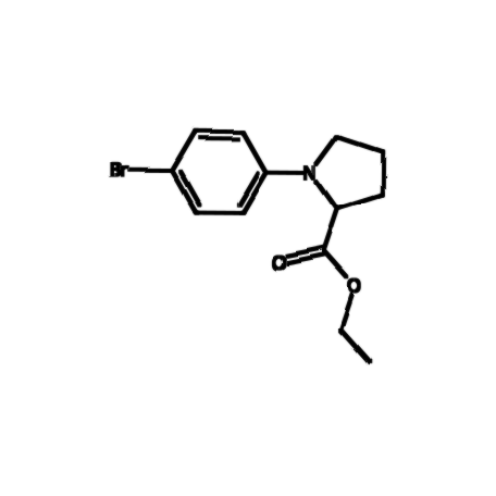 CCOC(=O)C1CCCN1c1ccc(Br)cc1